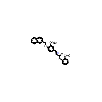 COc1cc(/C=C/C(=O)Nc2ccccc2C=O)ccc1OCc1ccc2ccccc2c1